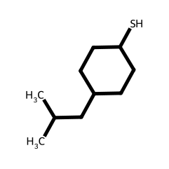 CC(C)CC1CCC(S)CC1